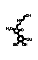 C=C1SC(c2cc(C(C)(C)C)c(O)c(C(C)(C)C)c2)C(=O)N1CCNCCO